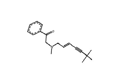 CN(C/C=C/C#CC(C)(C)C)CC(=O)c1ccccc1